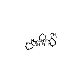 CCN1[C@@H](c2nc3ccccc3[nH]2)CCC[C@H]1c1ncccc1C